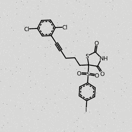 O=C1NC(=O)C(CCCC#Cc2cc(Cl)ccc2Cl)(S(=O)(=O)c2ccc(I)cc2)S1